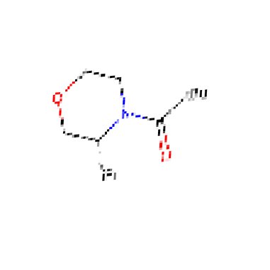 CC(C)[C@@H]1COCCN1C(=O)C(C)(C)C